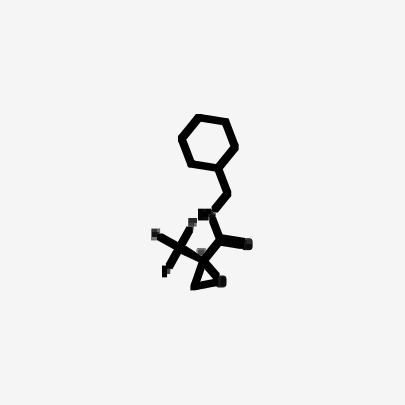 O=C(NCC1CCCCC1)[C@@]1(C(F)(F)F)CO1